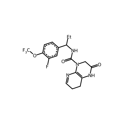 CCC(NC(=O)N1CC(=O)NC2=C1N=CCC2)c1ccc(OC(F)(F)F)c(F)c1